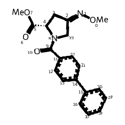 CON=C1C[C@@H](C(=O)OC)N(C(=O)c2ccc(-c3ccccc3)cc2)C1